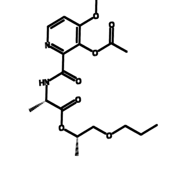 CCCOC[C@H](C)OC(=O)[C@H](C)NC(=O)c1nccc(OC)c1OC(C)=O